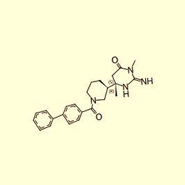 CN1C(=N)N[C@](C)([C@@H]2CCCN(C(=O)c3ccc(-c4ccccc4)cc3)C2)CC1=O